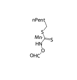 CCCCCCSC(=S)NOC=O.[Mn]